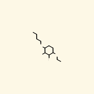 CCCCOC1CCC(OCC)C(F)C1F